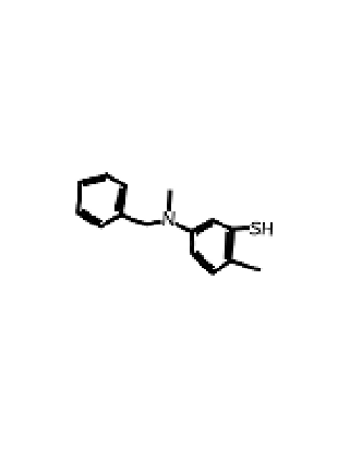 Cc1ccc(N(C)Cc2ccccc2)cc1S